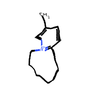 Cc1ccc2[n+](c1)CCCCCC2